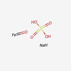 O=S(=O)(O)O.[NaH].[O]=[Fe]